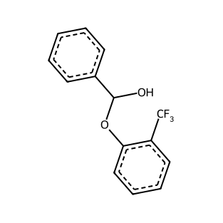 OC(Oc1ccccc1C(F)(F)F)c1ccccc1